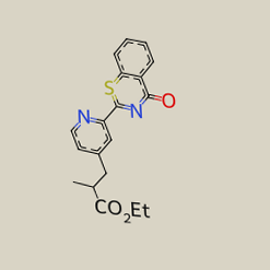 CCOC(=O)C(C)Cc1ccnc(-c2nc(=O)c3ccccc3s2)c1